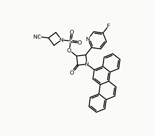 N#CC1CN(S(=O)(=O)OC2C(=O)N(c3cc4c5ccccc5ccc4c4ccccc34)C2c2ccc(F)cn2)C1